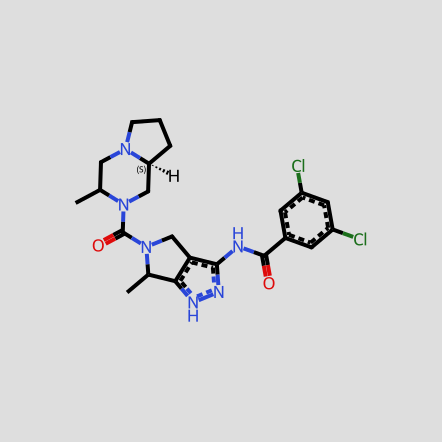 CC1CN2CCC[C@H]2CN1C(=O)N1Cc2c(NC(=O)c3cc(Cl)cc(Cl)c3)n[nH]c2C1C